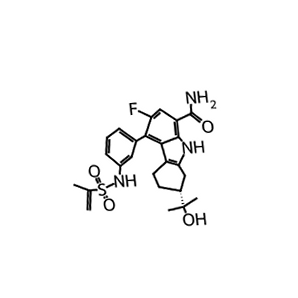 C=C(C)S(=O)(=O)Nc1cccc(-c2c(F)cc(C(N)=O)c3[nH]c4c(c23)CC[C@@H](C(C)(C)O)C4)c1